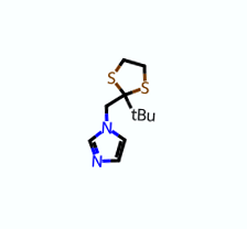 CC(C)(C)C1(Cn2ccnc2)SCCS1